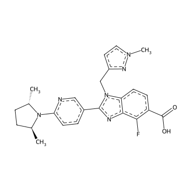 C[C@H]1CC[C@H](C)N1c1ccc(-c2nc3c(F)c(C(=O)O)ccc3n2Cc2ccn(C)n2)cn1